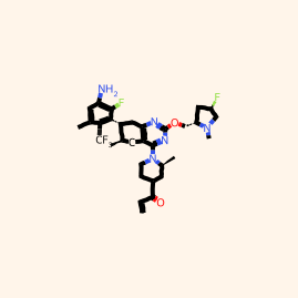 C=CC(=O)C1CCN(c2nc(OC[C@@H]3C[C@@H](F)CN3C)nc3c2C[C@@H](C)[C@H](c2c(F)c(N)cc(C)c2C(F)(F)F)C3)[C@@H](C)C1